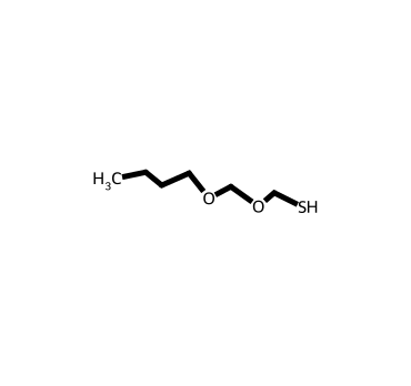 CCCCOCOCS